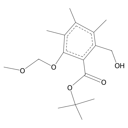 COCOc1c(C)c(C)c(C)c(CO)c1C(=O)OC(C)(C)C